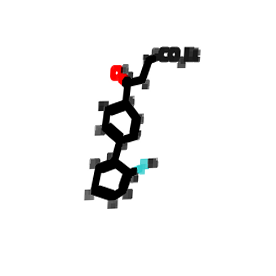 CCOC(=O)CCC(=O)c1ccc(-c2ccccc2F)cc1